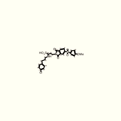 COc1ccc(S(=O)(=O)c2ccc3c(c2)C(=O)N(CCC(NCCCc2ccc(Cl)cc2)C(=O)O)C3=O)cc1